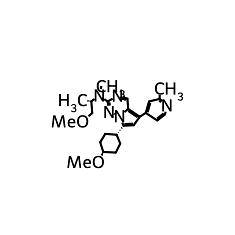 COC[C@H](C)N(C)c1ncc2c(-c3ccnc(C)c3)cc([C@H]3CC[C@H](OC)CC3)n2n1